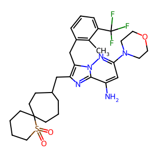 Cc1c(Cc2c(CC3CCCC4(CCCCS4(=O)=O)CC3)nc3c(N)cc(N4CCOCC4)nn23)cccc1C(F)(F)F